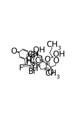 CCCC1(O)OCC(=O)[C@@]2(O1)[C@H](C)C[C@H]1[C@@H]3[C@H](Br)[C@@H](F)C4=CC(=O)C=C[C@]4(C)[C@@]3(F)[C@@H](O)C[C@@]12C